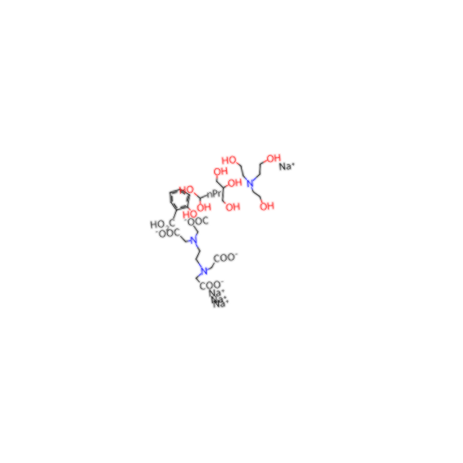 CCCC(O)O.O=C(O)c1ccccc1O.O=C([O-])CN(CCN(CC(=O)[O-])CC(=O)[O-])CC(=O)[O-].OCC(O)CO.OCCN(CCO)CCO.[Na+].[Na+].[Na+].[Na+]